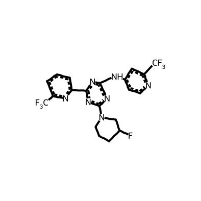 FC1CCCN(c2nc(Nc3ccnc(C(F)(F)F)c3)nc(-c3cccc(C(F)(F)F)n3)n2)C1